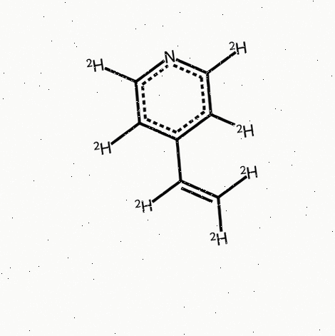 [2H]C([2H])=C([2H])c1c([2H])c([2H])nc([2H])c1[2H]